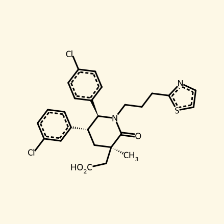 C[C@]1(CC(=O)O)C[C@H](c2cccc(Cl)c2)[C@@H](c2ccc(Cl)cc2)N(CCCc2nccs2)C1=O